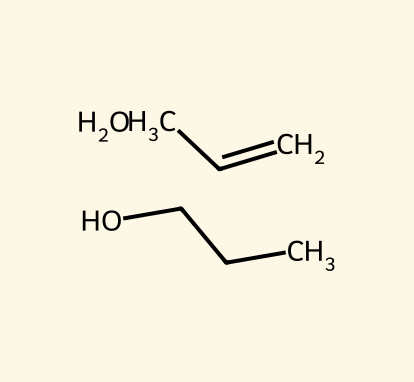 C=CC.CCCO.O